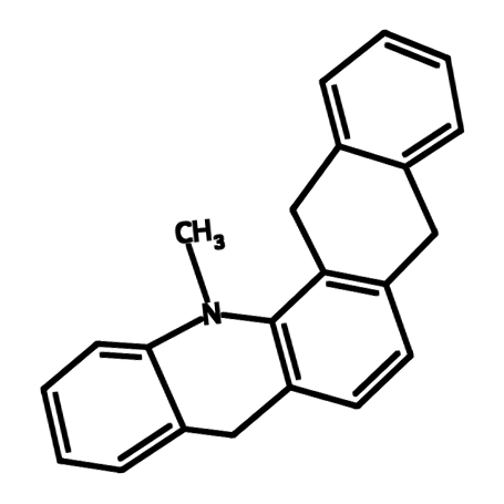 CN1c2ccccc2Cc2ccc3c(c21)Cc1ccccc1C3